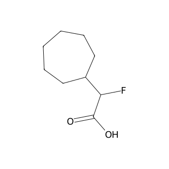 O=C(O)C(F)C1CCCCCC1